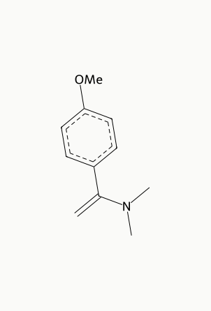 C=C(c1ccc(OC)cc1)N(C)C